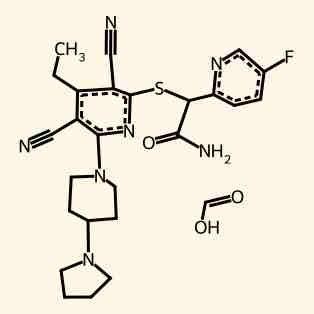 CCc1c(C#N)c(SC(C(N)=O)c2ccc(F)cn2)nc(N2CCC(N3CCCC3)CC2)c1C#N.O=CO